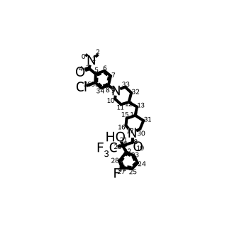 CN(C)C(=O)c1ccc(N2CCC(CC3CCN(C(=O)C(O)(c4cccc(F)c4)C(F)(F)F)CC3)CC2)cc1Cl